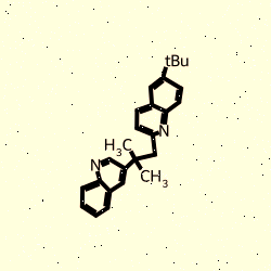 CC(C)(C)c1ccc2nc(CC(C)(C)c3cnc4ccccc4c3)ccc2c1